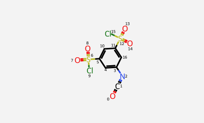 O=C=Nc1cc(S(=O)(=O)Cl)cc(S(=O)(=O)Cl)c1